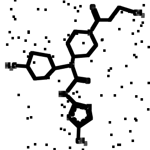 CCCC(=O)N1CCC(N(C(=O)Nc2ncc(C)s2)C2CCC(C)CC2)CC1